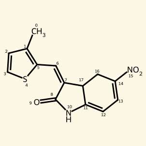 Cc1ccsc1C=C1C(=O)NC2=CC=C([N+](=O)[O-])CC21